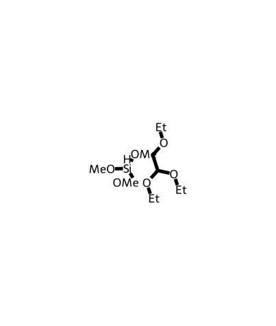 CCOCC(OCC)OCC.CO[SiH](OC)OC